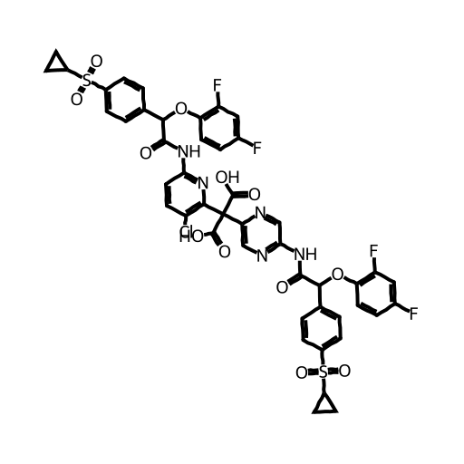 O=C(Nc1cnc(C(C(=O)O)(C(=O)O)c2nc(NC(=O)C(Oc3ccc(F)cc3F)c3ccc(S(=O)(=O)C4CC4)cc3)ccc2Cl)cn1)C(Oc1ccc(F)cc1F)c1ccc(S(=O)(=O)C2CC2)cc1